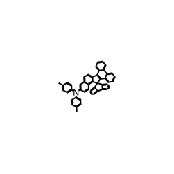 Cc1ccc(N(c2ccc(C)cc2)c2ccc3c4c(ccc3c2)-c2c(c3ccccc3c3ccccc23)C42c3ccccc3-c3ccccc32)cc1